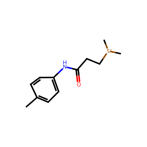 Cc1ccc(NC(=O)CC[S+](C)C)cc1